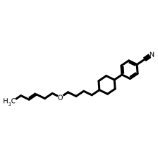 CC/C=C/CCOCCCCC1CCC(c2ccc(C#N)cc2)CC1